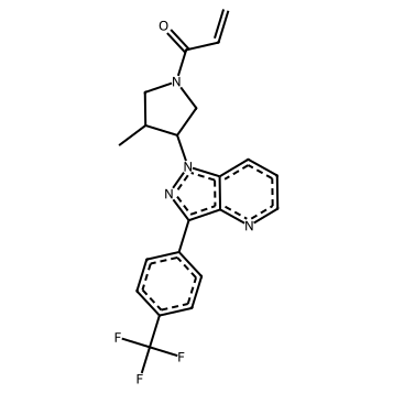 C=CC(=O)N1CC(C)C(n2nc(-c3ccc(C(F)(F)F)cc3)c3ncccc32)C1